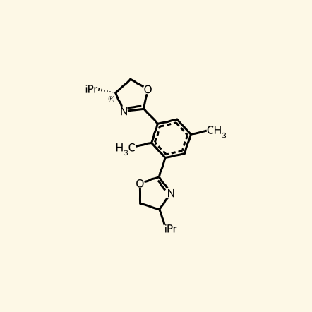 Cc1cc(C2=NC(C(C)C)CO2)c(C)c(C2=N[C@H](C(C)C)CO2)c1